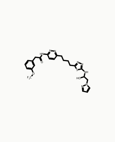 O=C(Cc1cccc(OC(F)(F)F)c1)Nc1ccc(CCCCc2nnc(NC(O)Cn3cccn3)s2)nn1